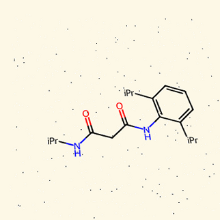 CC(C)NC(=O)CC(=O)Nc1c(C(C)C)cccc1C(C)C